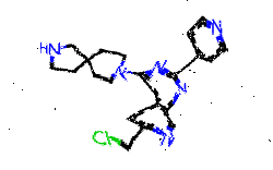 ClCc1cc2c(N3CCC4(CCNC4)CC3)nc(-c3ccncc3)nc2cn1